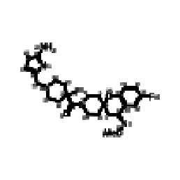 CO/N=C1\CC2(CCN(C(=O)C3(F)CCN(Cc4csc(N)n4)CC3)CC2)Oc2ccc(F)cc21